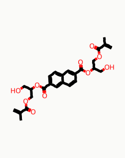 C=C(C)C(=O)OCC(CO)OC(=O)c1ccc2cc(C(=O)OC(CO)COC(=O)C(=C)C)ccc2c1